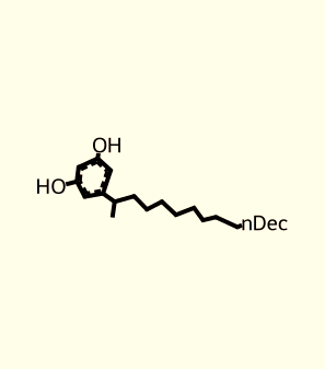 CCCCCCCCCCCCCCCCCCC(C)c1cc(O)cc(O)c1